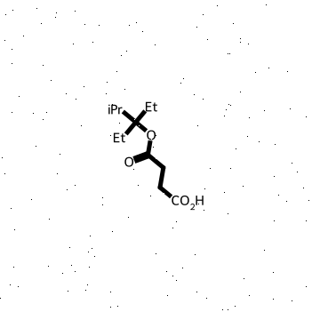 CCC(CC)(OC(=O)CCC(=O)O)C(C)C